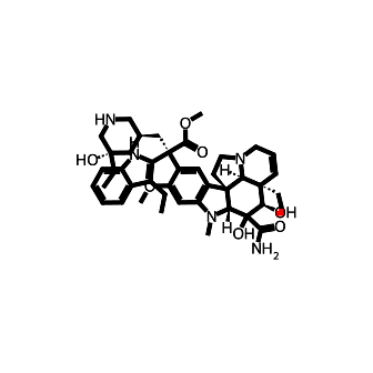 CCc1c([C@@](C[C@@H]2CNC[C@](O)(CC)C2)(C(=O)OC)c2cc3c(cc2OC)N(C)[C@H]2C(O)(C(N)=O)[C@H](O)[C@]4(CC)C=CCN5CC[C@]32[C@@H]54)[nH]c2ccccc12